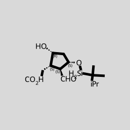 CC(C)C(C)(C)[SiH2]O[C@H]1C[C@@H](O)[C@@H](CC(=O)O)[C@@H]1C=O